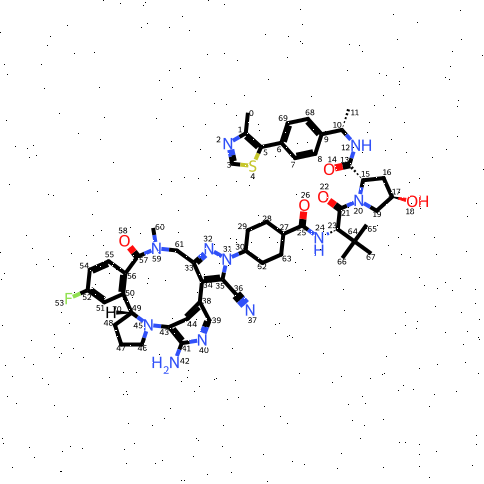 Cc1ncsc1-c1ccc([C@H](C)NC(=O)[C@@H]2C[C@@H](O)CN2C(=O)[C@@H](NC(=O)C2CCC(n3nc4c(c3C#N)-c3cnc(N)c(c3)N3CCC[C@@H]3c3cc(F)ccc3C(=O)N(C)C4)CC2)C(C)(C)C)cc1